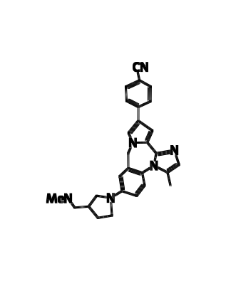 CNCC1CCN(c2ccc3c(c2)Cn2cc(-c4ccc(C#N)cc4)cc2-c2ncc(C)n2-3)C1